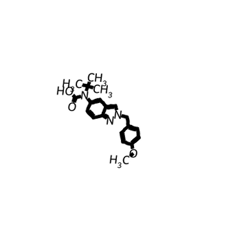 COc1ccc(Cn2cc3cc(N(C(=O)O)C(C)(C)C)ccc3n2)cc1